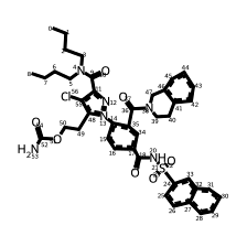 CCCCN(CCCC)C(=O)c1nn(-c2ccc(C(=O)NS(=O)(=O)c3ccc4ccccc4c3)cc2C(=O)N2CCc3ccccc3C2)c(CCOC(N)=O)c1Cl